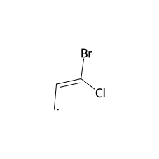 [CH2]/C=C(\Cl)Br